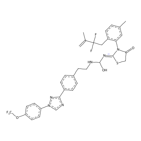 C=C(C)C(F)(F)Cc1ccc(C)cc1N1C(=O)CS/C1=N\C(O)NCCc1ccc(-c2ncn(-c3ccc(OC(F)(F)F)cc3)n2)cc1